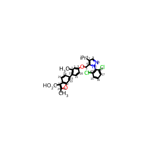 Cc1cc(OCc2c(C(C)C)cnn2-c2c(Cl)cccc2Cl)ccc1-c1ccc2c(C(=O)O)c(C)oc2c1